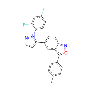 Cc1ccc(-c2onc3ccc(-c4ccnn4-c4ccc(F)cc4F)cc23)cc1